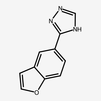 c1nnc(-c2ccc3occc3c2)[nH]1